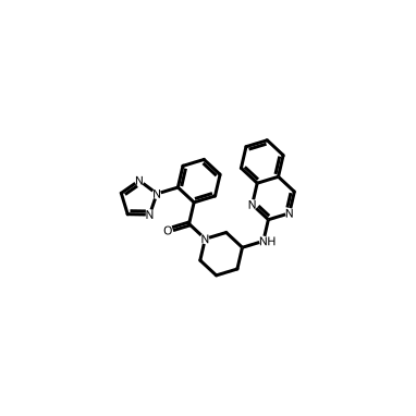 O=C(c1ccccc1-n1nccn1)N1CCCC(Nc2ncc3ccccc3n2)C1